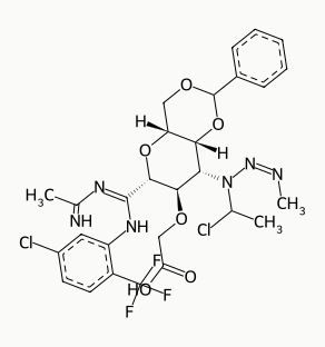 C/N=N\N(C(C)Cl)[C@H]1[C@H]2OC(c3ccccc3)OC[C@H]2O[C@@H](/C(=N/C(C)=N)Nc2cc(Cl)ccc2C(F)(F)F)[C@@H]1OCC(=O)O